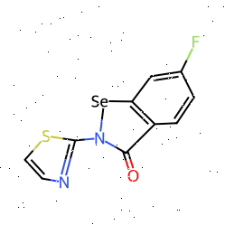 O=c1c2ccc(F)cc2[se]n1-c1nccs1